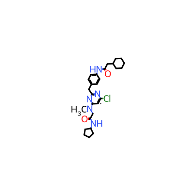 CN(CC(=O)NC1CCCC1)c1[c]c(Cl)nc(Cc2ccc(NC(=O)CC3CCCCC3)cc2)n1